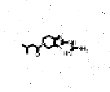 CC(C)CC(=O)N1CCc2nc(NC(=N)N)sc2C1